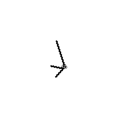 CCCCCCCCCCCCCCCCCCCOS(=O)(=O)CC(CCCCCCCC)CCCCCCCCC